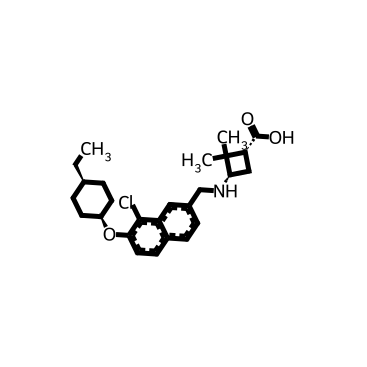 CC[C@H]1CC[C@@H](Oc2ccc3ccc(CN[C@H]4C[C@@H](C(=O)O)C4(C)C)cc3c2Cl)CC1